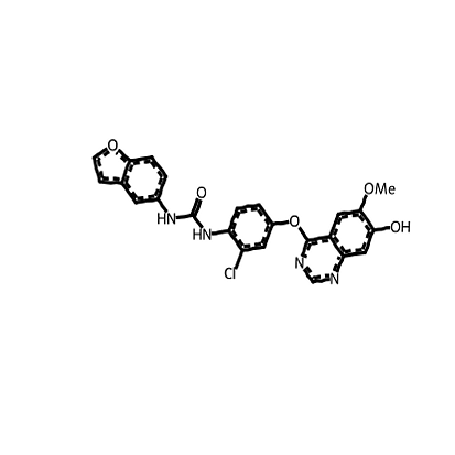 COc1cc2c(Oc3ccc(NC(=O)Nc4ccc5occc5c4)c(Cl)c3)ncnc2cc1O